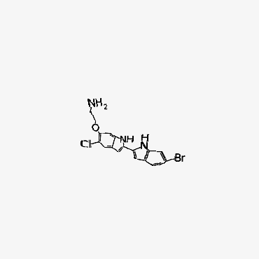 NCCOc1cc2[nH]c(-c3cc4ccc(Br)cc4[nH]3)cc2cc1Cl